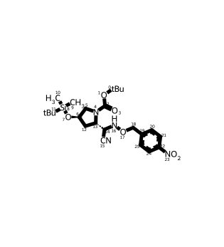 CC(C)(C)OC(=O)N1C[C@H](O[Si](C)(C)C(C)(C)C)C[C@H]1C(C#N)NOCc1ccc([N+](=O)[O-])cc1